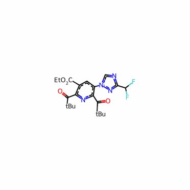 CCOC(=O)c1cc(-n2cnc(C(F)F)n2)c(C(=O)C(C)(C)C)nc1C(=O)C(C)(C)C